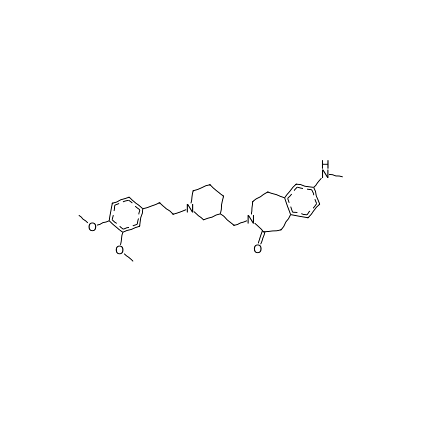 CNc1ccc2c(c1)CCN(CC1CCCN(CCc3ccc(OC)c(OC)c3)C1)C(=O)C2